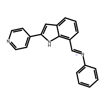 C(=N\c1ccccc1)/c1cccc2cc(-c3ccncc3)[nH]c12